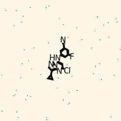 N#Cc1cc(F)cc(Nc2cc(Cl)nc3c(C4CC4)cnn23)c1